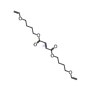 C=COCCCCOC(=O)/C=C/C(=O)OCCCCOC=C